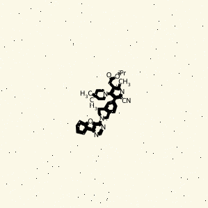 Cc1nc(C#N)c(-c2ccc3c(c2)CCN(c2ncnc4c2oc2ccccc24)C3)c(N2CCC(C)(C)CC2)c1CC(=O)OC(C)C